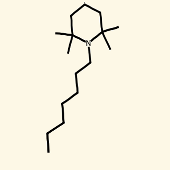 CCCCCCCN1C(C)(C)C[CH]CC1(C)C